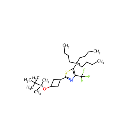 CCC[CH2][Sn]([CH2]CCC)([CH2]CCC)[c]1sc(C2CC(O[Si](C)(C)C(C)(C)C)C2)nc1C(F)(F)F